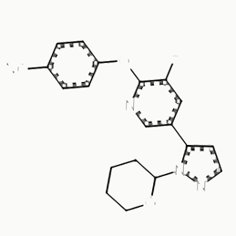 N#Cc1ccc(Oc2ncc(-c3ccnn3C3CCCCO3)cc2F)cc1